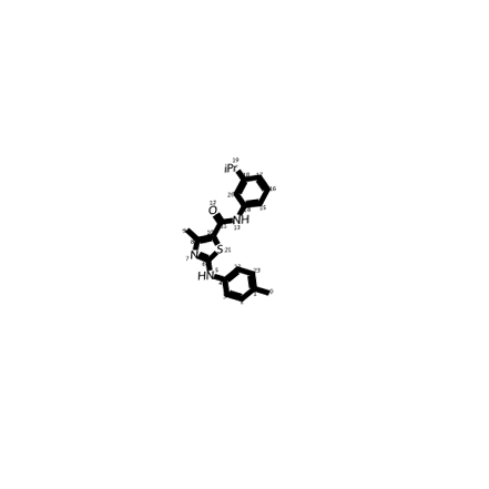 Cc1ccc(Nc2nc(C)c(C(=O)Nc3cccc(C(C)C)c3)s2)cc1